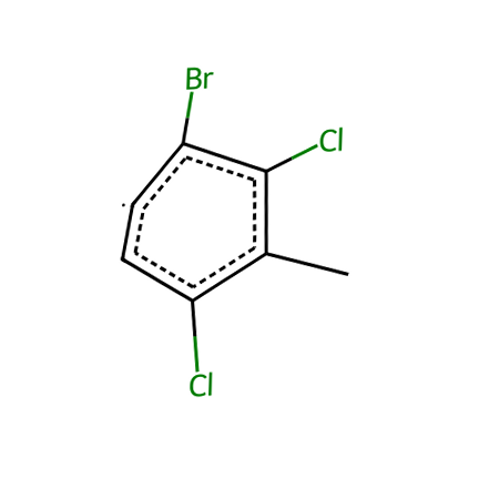 Cc1c(Cl)c[c]c(Br)c1Cl